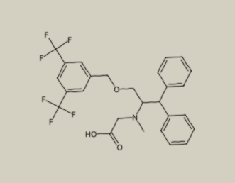 CN(CC(=O)O)C(COCc1cc(C(F)(F)F)cc(C(F)(F)F)c1)C(c1ccccc1)c1ccccc1